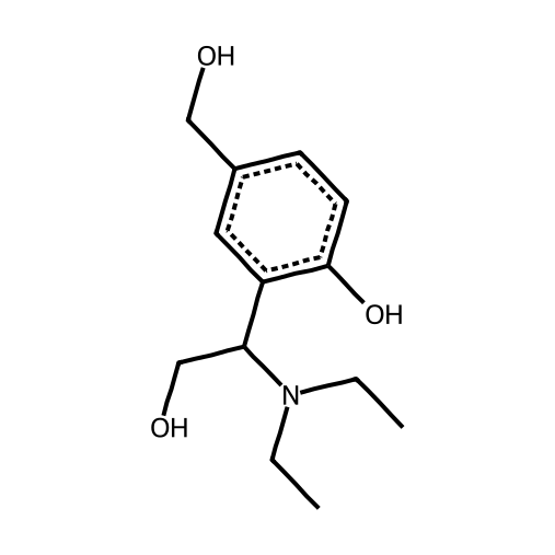 CCN(CC)C(CO)c1cc(CO)ccc1O